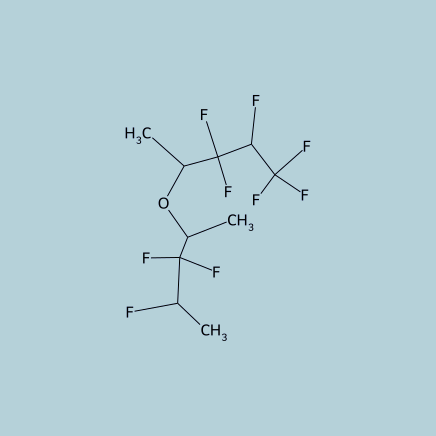 CC(F)C(F)(F)C(C)OC(C)C(F)(F)C(F)C(F)(F)F